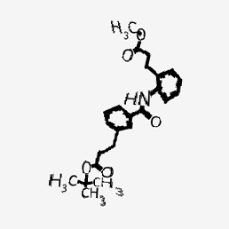 COC(=O)CCc1ccccc1NC(=O)c1cccc(CCC(=O)OC(C)(C)C)c1